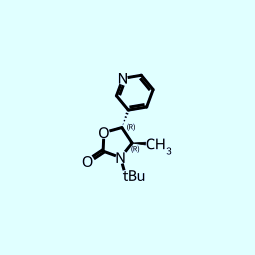 C[C@@H]1[C@@H](c2cccnc2)OC(=O)N1C(C)(C)C